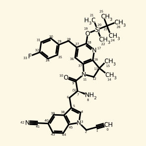 C#CCn1cc(C[C@H](N)C(=O)N2CC(C)(C)c3nc(O[Si](C)(C)C(C)(C)C)c(Cc4ccc(F)cc4)cc32)c2cc(C#N)ccc21